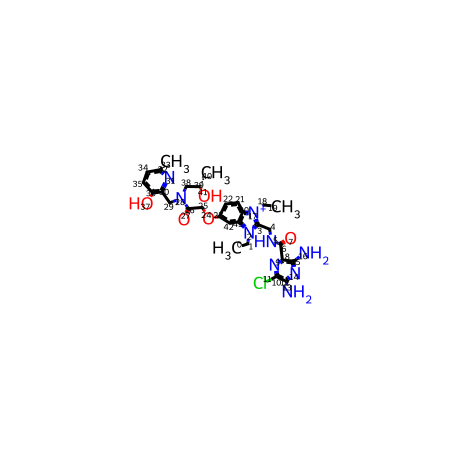 CCn1c(CNC(=O)c2nc(Cl)c(N)nc2N)[n+](CC)c2ccc(OCC(=O)N(Cc3nc(C)ccc3O)C[C@H](C)O)cc21